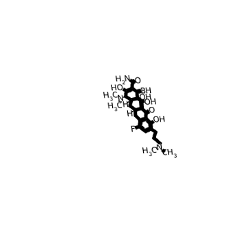 B=C1C(C(N)=O)=C(O)[C@@H](N(C)C)[C@@H]2C[C@@H]3Cc4c(F)cc(CCCN(C)C)c(O)c4C(=O)C3=C(O)[C@]12O